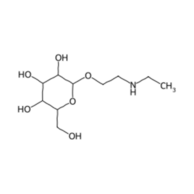 CCNCCOC1OC(CO)C(O)C(O)C1O